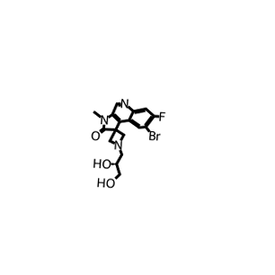 CN1C(=O)C2(CN(C[C@H](O)CO)C2)c2c1cnc1cc(F)c(Br)cc21